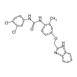 Cc1cc(OCc2nc3ccccc3[nH]2)ccc1NC(=O)Nc1ccc(Cl)c(Cl)c1